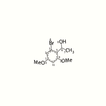 COc1cc(Br)c(C(C)O)c(OC)c1